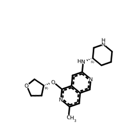 Cc1cc2cnc(N[C@H]3CCCNC3)cc2c(O[C@@H]2CCOC2)n1